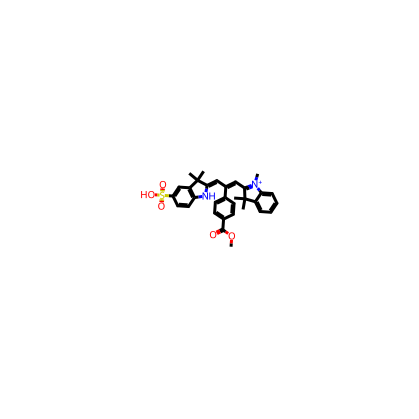 COC(=O)c1ccc(C(=C\C2=[N+](C)c3ccccc3C2(C)C)/C=C2\Nc3ccc(S(=O)(=O)O)cc3C2(C)C)cc1